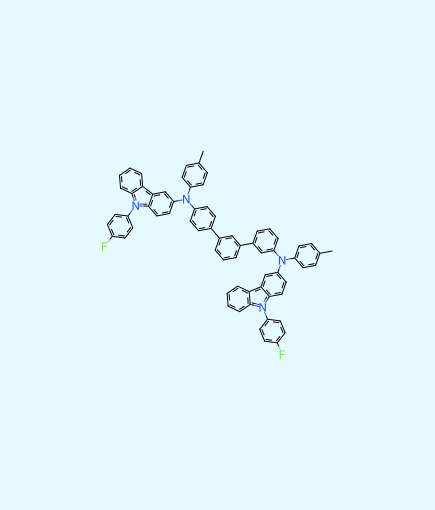 Cc1ccc(N(c2ccc(-c3cccc(-c4cccc(N(c5ccc(C)cc5)c5ccc6c(c5)c5ccccc5n6-c5ccc(F)cc5)c4)c3)cc2)c2ccc3c(c2)c2ccccc2n3-c2ccc(F)cc2)cc1